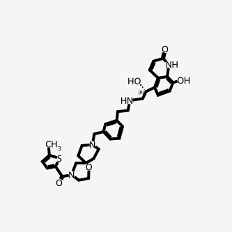 Cc1ccc(C(=O)N2CCOC3(CCN(Cc4cccc(CCNC[C@H](O)c5ccc(O)c6[nH]c(=O)ccc56)c4)CC3)C2)s1